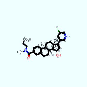 CN(CCC(=O)O)C(=O)c1ccc2c(c1)CC[C@H]1[C@@H]3[C@@H](O)C=C(c4cncc(F)c4)[C@@]3(C)CC[C@H]21